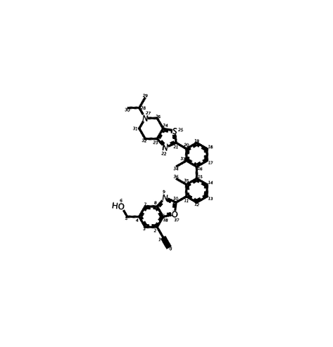 C#Cc1cc(CO)cc2nc(-c3cccc(-c4cccc(-c5nc6c(s5)CN(C(C)C)CC6)c4C)c3C)oc12